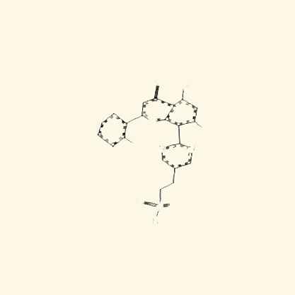 NS(=O)(=O)CCc1cnc(-c2c(O)cc(O)c3c(=O)cc(-c4ccccc4Cl)oc23)nc1